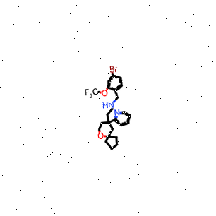 FC(F)(F)Oc1cc(Br)ccc1CNCCC1(c2ccccn2)CCOC2(CCCC2)C1